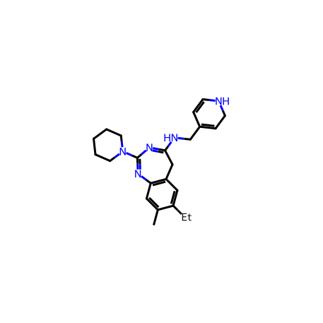 CCc1cc2c(cc1C)N=C(N1CCCCC1)N=C(NCC1=CCNC=C1)C2